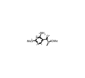 CON(C)C(=O)c1cnc(SC)nc1N